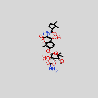 CO[C@@H]1[C@@H](OC(N)=O)[C@@H](O)[C@H](Oc2ccc3c(O)c(NC(=O)C4CC=C(C)C4C)c(=O)oc3c2C)OC1(C)C